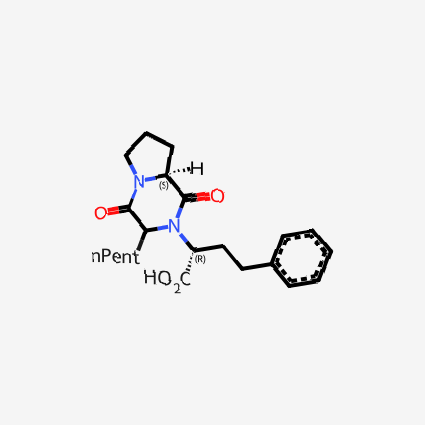 CCCCCC1C(=O)N2CCC[C@H]2C(=O)N1[C@H](CCc1ccccc1)C(=O)O